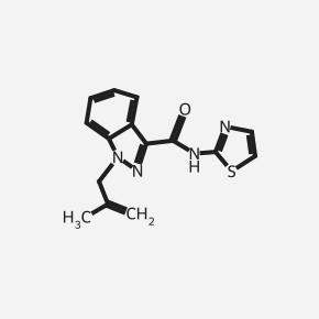 C=C(C)Cn1nc(C(=O)Nc2nccs2)c2ccccc21